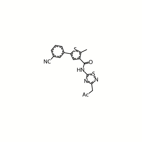 CC(=O)Cc1nsc(NC(=O)c2cc(-c3cccc(C#N)c3)sc2C)n1